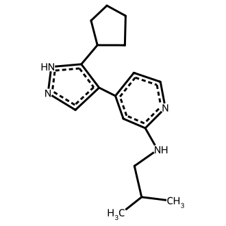 CC(C)CNc1cc(-c2cn[nH]c2C2CCCC2)ccn1